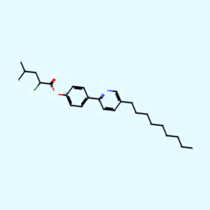 CCCCCCCCCc1ccc(-c2ccc(OC(=O)C(Cl)CC(C)C)cc2)nc1